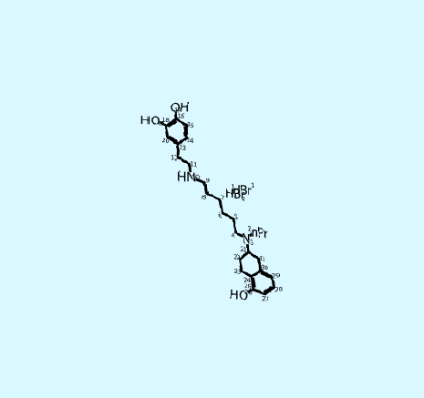 Br.Br.CCCN(CCCCCCNCCc1ccc(O)c(O)c1)C1CCc2c(O)cccc2C1